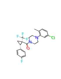 Cc1ccc(Cl)cc1N1CCN(C(=O)[C@]2(C(F)(F)F)C[C@H]2c2ccc(F)cc2)CC1